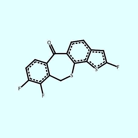 O=C1c2ccc(F)c(F)c2CSc2c1ccc1cc(F)sc21